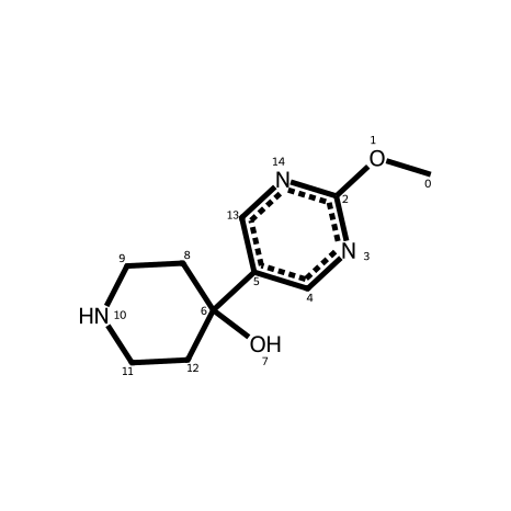 COc1ncc(C2(O)CCNCC2)cn1